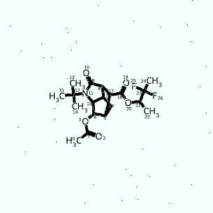 CC(=O)OC1C2CC3C(C(=O)N(C(C)(C)C)C31)C2C(=O)OC(C)C(C)(F)F